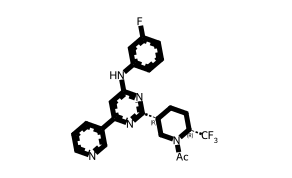 CC(=O)N1C[C@H](c2nc(Nc3cccc(F)c3)cc(-c3cccnc3)n2)CC[C@@H]1C(F)(F)F